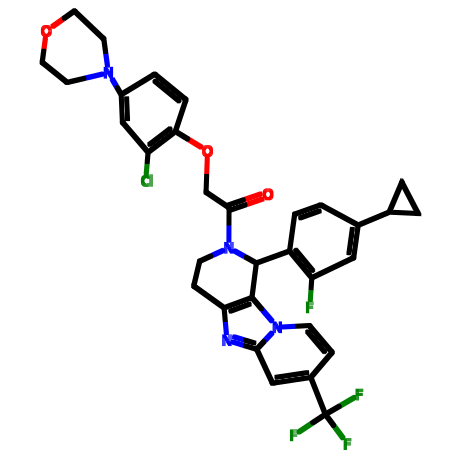 O=C(COc1ccc(N2CCOCC2)cc1Cl)N1CCc2nc3cc(C(F)(F)F)ccn3c2C1c1ccc(C2CC2)cc1F